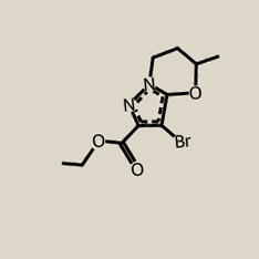 CCOC(=O)c1nn2c(c1Br)OC(C)CC2